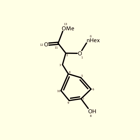 CCCCCCOC(Cc1ccc(O)cc1)C(=O)OC